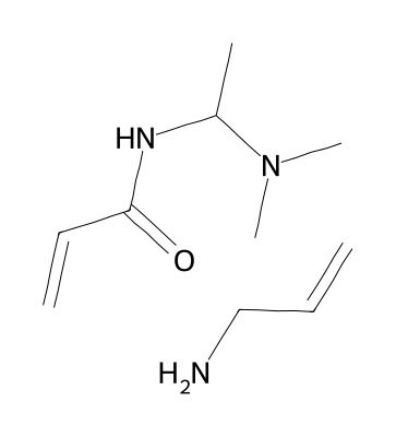 C=CC(=O)NC(C)N(C)C.C=CCN